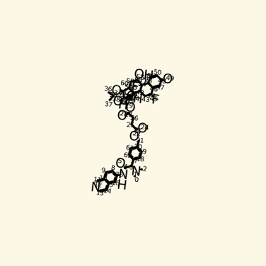 CN(C)[C@@H](C(=O)Nc1ccc2cnccc2c1)c1ccc(COC(=O)CCC(=O)OCC(=O)[C@@]23OC(C)(C)O[C@@H]2C[C@H]2C4C[C@H](F)C5=CC(=O)C=C[C@]5(C)[C@@]4(F)[C@@H](O)C[C@@]23C)cc1